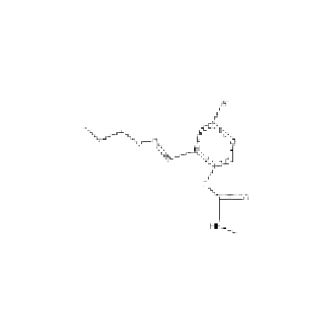 CCCON=Cc1cc(Br)ccc1OC(=O)NC